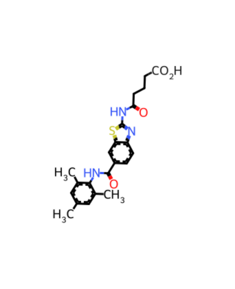 Cc1cc(C)c(NC(=O)c2ccc3nc(NC(=O)CCCC(=O)O)sc3c2)c(C)c1